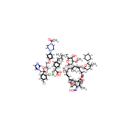 CC(=O)N1CCN(c2ccc(OC[C@H]3CO[C@](Cn4ccnc4)(c4ccc(Cl)cc4Cl)O3)cc2)CC1.CC(C)Cc1ccc(C(C)C(=O)O)cc1.CO[C@H]1C[C@H](O[C@@H]2/C(C)=C/C[C@@H]3C[C@@H](C[C@]4(CC[C@H](C)[C@@H](C5CCCCC5)O4)O3)OC(=O)[C@@H]3C=C(C)/C(=N/O)[C@H]4OC/C(=C\C=C\[C@@H]2C)[C@]43O)O[C@@H](C)[C@@H]1O